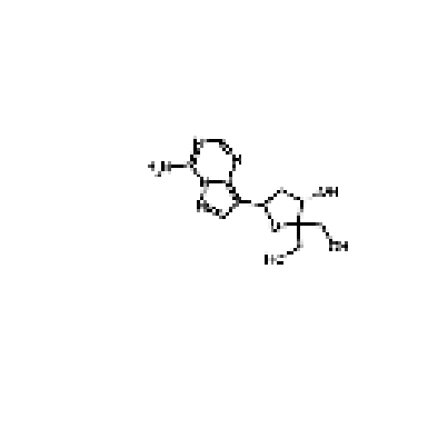 Nc1ncnc2c([C@H]3C[C@H](O)C(CO)(CO)O3)cnn12